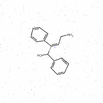 NC/C=C(\c1ccccc1)C(O)c1ccccc1